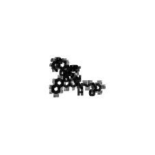 CC(C)C[C@H](NC(=O)[C@@H](CC(=O)NCCCN1CCCC1=O)Cc1cccc2ccccc12)C(=O)N[C@H](CC(C)C)[C@H](O)c1nccs1